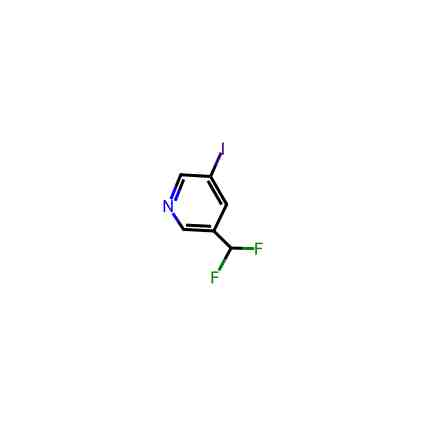 FC(F)c1cncc(I)c1